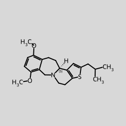 COc1ccc(OC)c2c1CC[C@H]1c3cc(CC(C)C)sc3CCN1C2